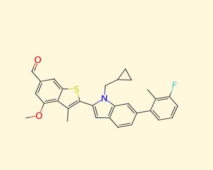 COc1cc(C=O)cc2sc(-c3cc4ccc(-c5cccc(F)c5C)cc4n3CC3CC3)c(C)c12